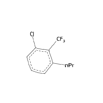 [CH2]CCc1cccc(Cl)c1C(F)(F)F